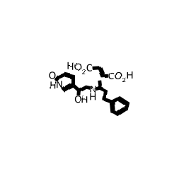 CC(CCc1ccccc1)NCC(O)c1ccc(=O)[nH]c1.O=C(O)C=CC(=O)O